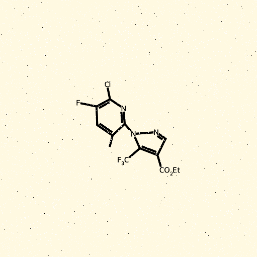 CCOC(=O)c1cnn(-c2nc(Cl)c(F)cc2C)c1C(F)(F)F